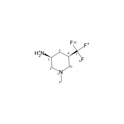 CN1C[C@@H](N)C[C@@H](C(F)(F)F)C1